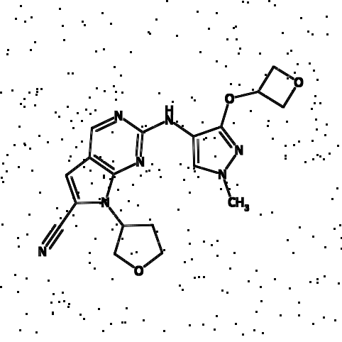 Cn1cc(Nc2ncc3cc(C#N)n(C4CCOC4)c3n2)c(OC2COC2)n1